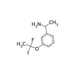 CC(N)c1cccc(OC(C)(F)I)c1